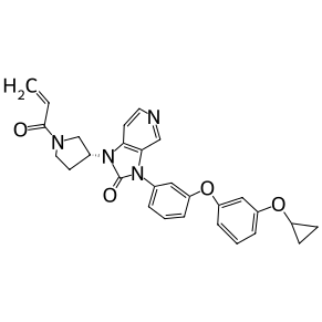 C=CC(=O)N1CC[C@@H](n2c(=O)n(-c3cccc(Oc4cccc(OC5CC5)c4)c3)c3cnccc32)C1